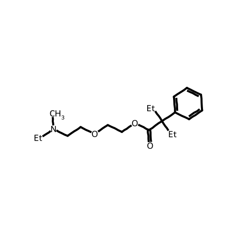 CCN(C)CCOCCOC(=O)C(CC)(CC)c1ccccc1